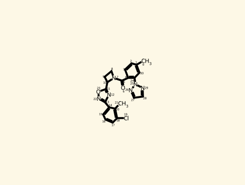 Cc1ccc(C(=O)N2CCC2c2nc(-c3cccc(Cl)c3C)no2)c(-n2nccn2)c1